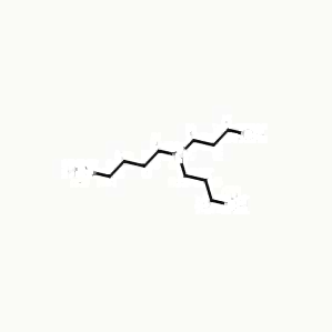 NCCCCN(CCCO)CCCO